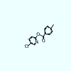 Cc1ccc(C(=O)Oc2c[c]c(Cl)cn2)cc1